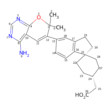 CC1(C)Oc2ncnc(N)c2C=C1c1ccc2c(c1)CC[C@]21CC[C@@H](CC(=O)O)CC1